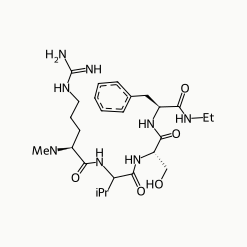 CCNC(=O)[C@H](Cc1ccccc1)NC(=O)[C@H](CO)NC(=O)C(NC(=O)[C@H](CCCNC(=N)N)NC)C(C)C